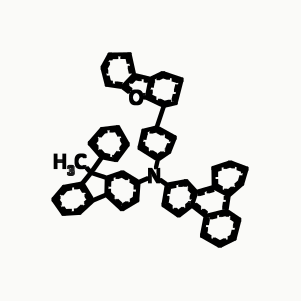 CC1(c2ccccc2)c2ccccc2-c2ccc(N(c3ccc(-c4cccc5c4oc4ccccc45)cc3)c3ccc4c5ccccc5c5ccccc5c4c3)cc21